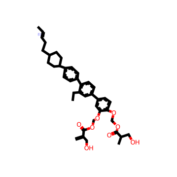 C=C(CO)C(=O)OCOc1cc(-c2ccc(-c3ccc(C4CCC(CC/C=C/C)CC4)cc3)c(CC)c2)ccc1OCOC(=O)C(C)CO